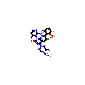 Cc1ccnc(C(C)C)c1-n1c(=O)nc(N2CCN(C(=O)O)[C@H](C)C2)c2cc(Cl)c(-c3c(O)cccc3F)nc21